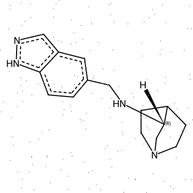 c1cc2[nH]ncc2cc1CN[C@H]1CN2CCC1CC2